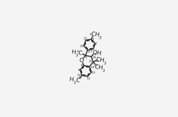 Cc1ccc(C2(C)Oc3cc(C)ccc3C(C)(C)C2O)cc1